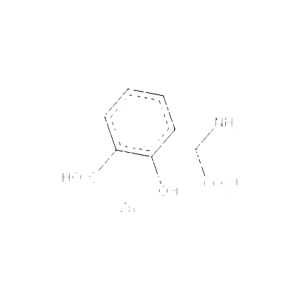 NCC(=O)O.O=C(O)c1ccccc1O.[Zn]